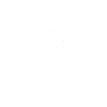 CC1(C)C2=CC=CC(N(C3=Cc4oc5ccc6ccccc6c5c4CC3)c3ccc4c(c3)oc3ccccc34)C2c2ccccc21